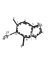 Cc1cc2nccn2c(C)c1C(C)C